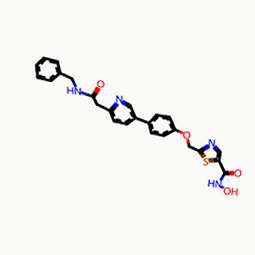 O=C(Cc1ccc(-c2ccc(OCc3ncc(C(=O)NO)s3)cc2)cn1)NCc1ccccc1